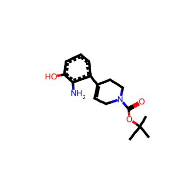 CC(C)(C)OC(=O)N1CC=C(c2cccc(O)c2N)CC1